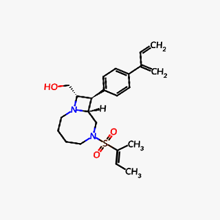 C=CC(=C)c1ccc([C@@H]2[C@@H](CO)N3CCCCN(S(=O)(=O)/C(C)=C/C)C[C@@H]23)cc1